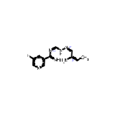 C/C=C(N)\C=N/N/C=N\C(=N)c1cncc(F)c1